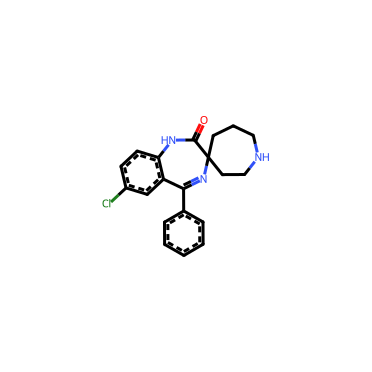 O=C1Nc2ccc(Cl)cc2C(c2ccccc2)=NC12CCCNCC2